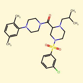 Cc1ccc(C)c(N2CCN(C(=O)C3CN(S(=O)(=O)c4cccc(Cl)c4)CCN3CC(C)C)CC2)c1